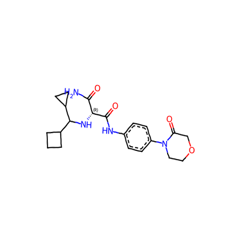 NC(=O)[C@@H](NC(C1CCC1)C1CC1)C(=O)Nc1ccc(N2CCOCC2=O)cc1